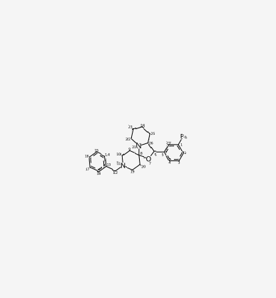 Fc1cccc(C2OC3(CCN(Cc4ccccc4)CC3)N3CCCCC23)c1